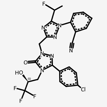 CC(F)c1nc(Cn2nc(-c3ccc(Cl)cc3)n(C[C@H](O)C(F)(F)F)c2=O)nn1-c1ccccc1C#N